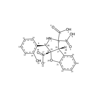 O=C(O)C1(C(=O)O)N[C@H](c2ccccc2O)[C@@]2([N+](=O)[O-])Oc3ccccc3[C@@H]12